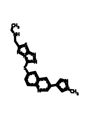 CCNCc1nn2c(Sc3ccc4ncc(-c5cnn(C)c5)cc4c3)nnc2s1